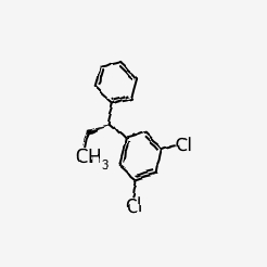 CC[C@@H](c1ccccc1)c1cc(Cl)cc(Cl)c1